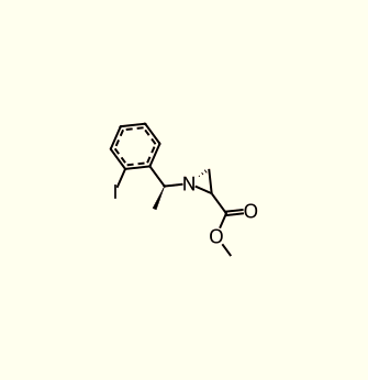 COC(=O)C1C[N@@]1[C@@H](C)c1ccccc1I